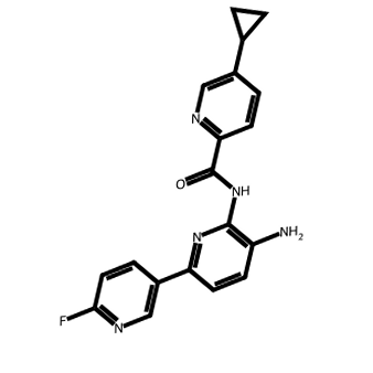 Nc1ccc(-c2ccc(F)nc2)nc1NC(=O)c1ccc(C2CC2)cn1